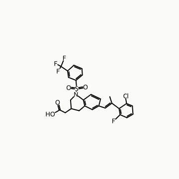 C/C(=C\c1ccc2c(c1)CC(CC(=O)O)CN2S(=O)(=O)c1cccc(C(F)(F)F)c1)c1c(F)cccc1Cl